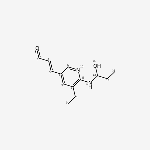 CCc1cc(/C=C/C=O)cnc1NC(O)CC